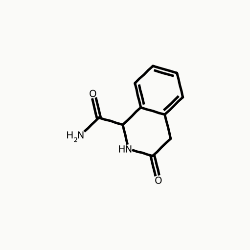 NC(=O)C1NC(=O)Cc2ccccc21